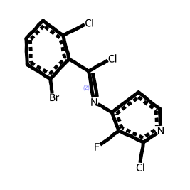 Fc1c(/N=C(\Cl)c2c(Cl)cccc2Br)ccnc1Cl